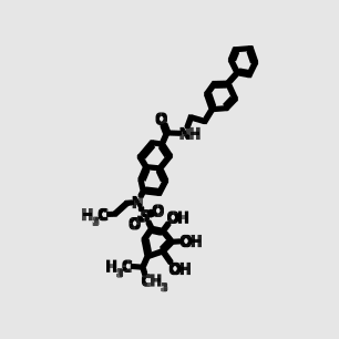 CCCN(c1ccc2cc(C(=O)NCCc3ccc(-c4ccccc4)cc3)ccc2c1)S(=O)(=O)c1cc(C(C)C)c(O)c(O)c1O